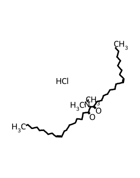 CCCCCCCC/C=C\CCCCCCCC(=O)C(C(=O)CCCCCCC/C=C\CCCCCCCC)N(C)C.Cl